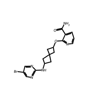 NC(=O)c1cccnc1OC1CC2(CC(Nc3ncc(Br)cn3)C2)C1